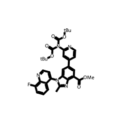 COC(=O)c1cc(-c2ccnc(N(C(=O)OC(C)(C)C)C(=O)OC(C)(C)C)c2)cc2c1nc(C)n2-c1ccnc2c(F)cccc12